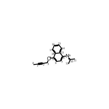 CC#CCOc1ccc(N=C(C)C)c2ccccc12